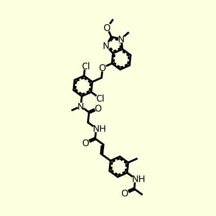 COc1nc2c(OCc3c(Cl)ccc(N(C)C(=O)CNC(=O)C=Cc4ccc(NC(C)=O)c(C)c4)c3Cl)cccc2n1C